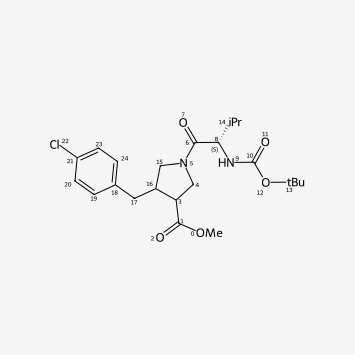 COC(=O)C1CN(C(=O)[C@@H](NC(=O)OC(C)(C)C)C(C)C)CC1Cc1ccc(Cl)cc1